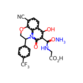 N.N#Cc1ccc2c(O)c(C(=O)NCC(=O)O)c(=O)n3c2c1OCC3c1ccc(C(F)(F)F)cc1